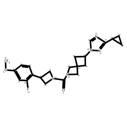 O=C(N1CC(c2ccc(OC(F)(F)F)cc2F)C1)N1CC2(CC(n3cnc(C4CC4)n3)C2)C1